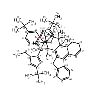 [CH2]=[Zr]([C]1=CC(C(C)(C)C)=CC1CC)([c]1ccc(C(C)(C)C)cc1)([c]1ccc(C(C)(C)C)cc1)[C]1(C)C2=C3Cc4ccccc4C3=C3C=CCCC3C2(C)C(C)(C)C(C)(C)C1(C)C